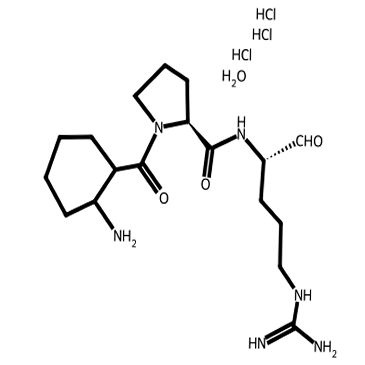 Cl.Cl.Cl.N=C(N)NCCC[C@@H](C=O)NC(=O)[C@@H]1CCCN1C(=O)C1CCCCC1N.O